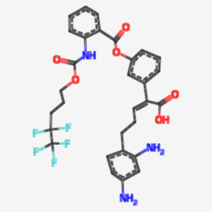 Nc1ccc(CCC=C(C(=O)O)c2cccc(OC(=O)c3ccccc3NC(=O)OCCCC(F)(F)C(F)(F)F)c2)c(N)c1